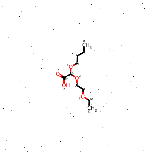 CCCCOC(OCCOCC)C(=O)O